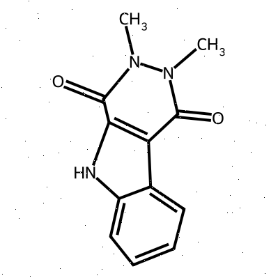 Cn1c(=O)c2[nH]c3ccccc3c2c(=O)n1C